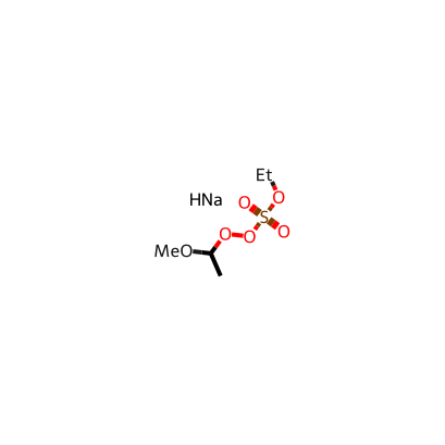 CCOS(=O)(=O)OOC(C)OC.[NaH]